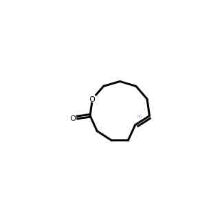 O=C1CCC/C=C/CCCCO1